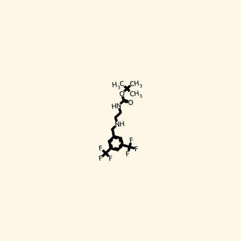 CC(C)(C)OC(=O)NCCNCc1cc(C(F)(F)F)cc(C(F)(F)F)c1